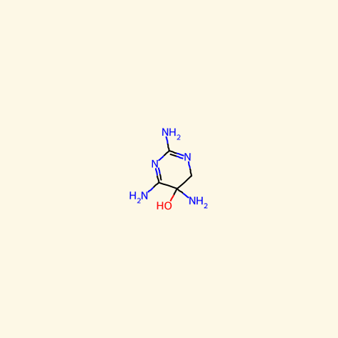 NC1=NCC(N)(O)C(N)=N1